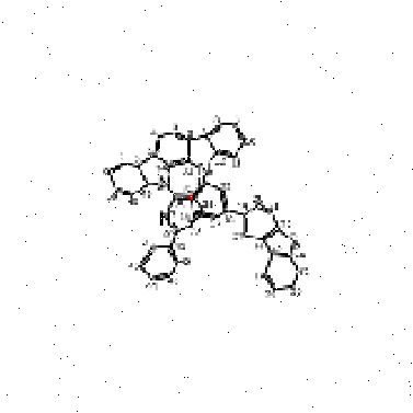 C1=CC2c3ccc4c5ccccc5n(-c5cccc(-c6ccc7sc8c(c7c6)C=CCC8)c5)c4c3N(c3cccc(-c4ccccc4)n3)C2C=C1